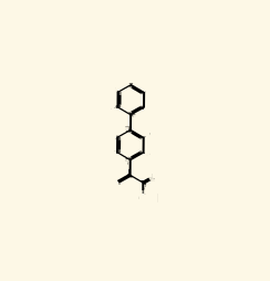 C=C(C(=O)O)c1ccc(-c2ccccc2)cc1